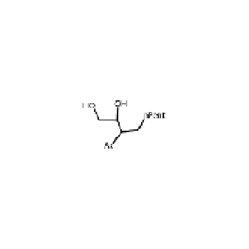 CCCCCCC(C(C)=O)C(O)CO